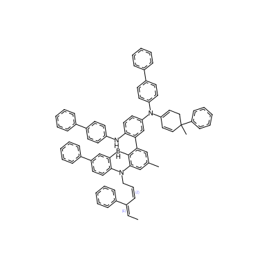 C/C=C(\C=C/CN1c2ccc(-c3ccccc3)cc2Bc2c(-c3cc(N(C4=CCC(C)(c5ccccc5)C=C4)c4ccc(-c5ccccc5)cc4)ccc3Nc3ccc(-c4ccccc4)cc3)cc(C)cc21)c1ccccc1